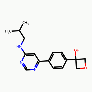 CC(C)CNc1cc(-c2ccc(C3(O)COC3)cc2)ncn1